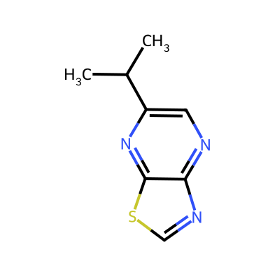 CC(C)c1cnc2ncsc2n1